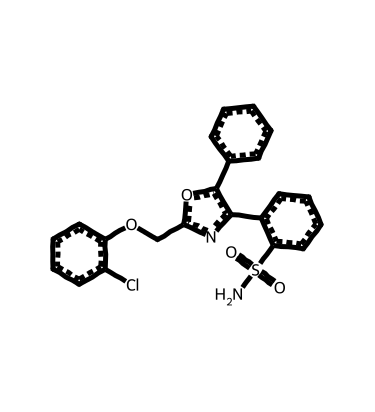 NS(=O)(=O)c1ccccc1-c1nc(COc2ccccc2Cl)oc1-c1ccccc1